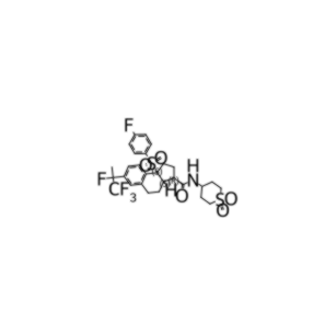 CC(F)(c1ccc2c(c1)CC[C@H]1[C@H](C(=O)NC3CCS(=O)(=O)CC3)CC[C@@]21S(=O)(=O)c1ccc(F)cc1)C(F)(F)F